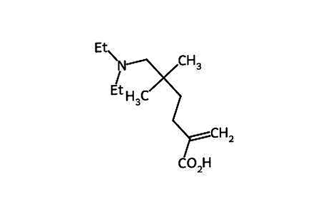 C=C(CCC(C)(C)CN(CC)CC)C(=O)O